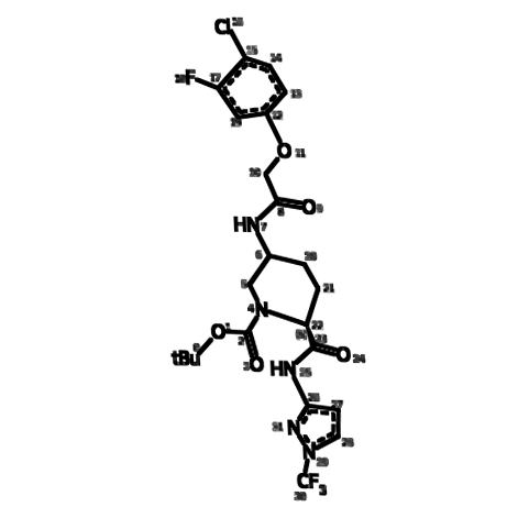 CC(C)(C)OC(=O)N1CC(NC(=O)COc2ccc(Cl)c(F)c2)CC[C@H]1C(=O)Nc1ccn(C(F)(F)F)n1